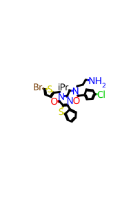 CC(C)C(c1nc2c(sc3ccccc32)c(=O)n1Cc1ccc(Br)s1)N(CCCN)C(=O)c1ccc(Cl)cc1